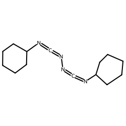 C(=NN=C=NC1CCCCC1)=NC1CCCCC1